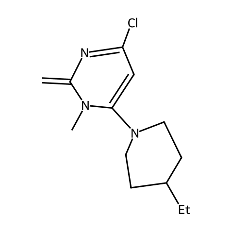 C=C1N=C(Cl)C=C(N2CCC(CC)CC2)N1C